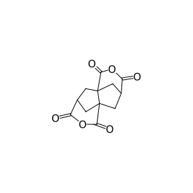 O=C1OC(=O)C23CC1CC21CC(C3)C(=O)OC1=O